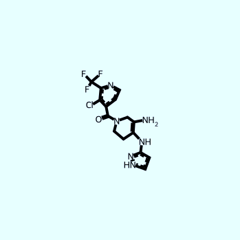 NC1=C(Nc2cc[nH]n2)CCN(C(=O)c2ccnc(C(F)(F)F)c2Cl)C1